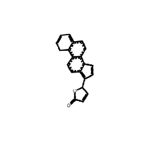 O=C1C=CC(C2=c3ccc4c5c(ccc4c3C=C2)=CC=CC5)O1